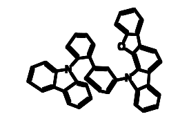 c1cc(-c2ccccc2-n2c3ccccc3c3ccccc32)cc(-n2c3ccccc3c3ccc4c5ccccc5oc4c32)c1